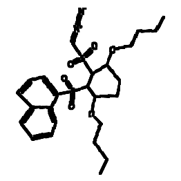 CCCCOC1CCC(OCCCC)C(S(=O)(=O)c2cccc3ccccc23)C1S(=O)(=O)C=[N+]=[N-]